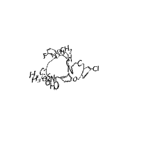 CO[C@]1(c2cccc(F)n2)/C=C/C[C@H](C)[C@@H](C)S(=O)(=O)NC(=O)c2ccc3c(c2)N(CCCCc2cc(Cl)ccc2CO3)C[C@@H]2CC[C@H]21